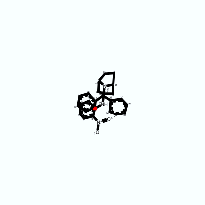 O=[N+]([O-])c1ccccc1NC1CC2CCC(C1)N2C(c1ccccc1)c1ccccc1